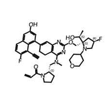 C#Cc1c(F)ccc2cc(O)cc(C3=Cc4nc(OC[C@]5([C@H](C)O)C[C@@H](F)CN5C5CCOCC5)nc(N(C)C[C@@H]5CCCN5C(=O)C=C)c4CC3)c12